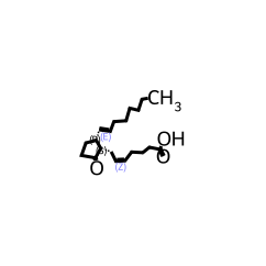 CCCCCC/C=C/[C@H]1CCC(=O)[C@H]1C/C=C\CCCC(=O)O